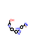 OCC1C2CN(Cc3ccc(-c4ccc5ncnc(Nc6ccc(-c7cnns7)cc6)c5c4)cc3)CC12